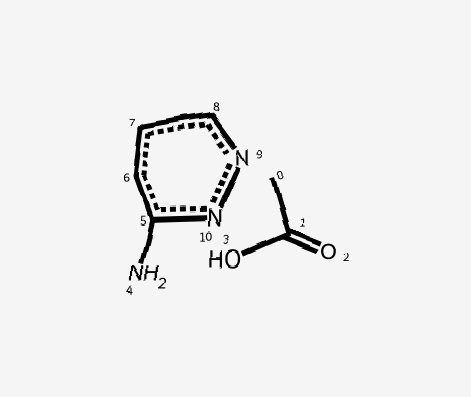 CC(=O)O.Nc1cccnn1